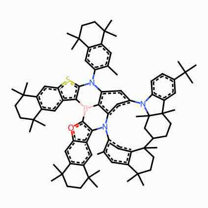 Cc1cc2c(cc1N1c3cc4cc5c3B(c3oc6cc7c(cc6c3N5c3cc5c(cc3C)C(C)(C)CCC5(C)C3CCC5(C)c6cc(C(C)(C)C)ccc6N4C5(C)C3)C(C)(C)CCC7(C)C)c3c1sc1cc4c(cc31)C(C)(C)CCC4(C)C)C(C)(C)CCC2(C)C